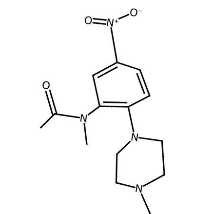 CC(=O)N(C)c1cc([N+](=O)[O-])ccc1N1CCN(C)CC1